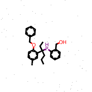 CCCC(CC)(Pc1ccccc1CO)c1cc(C)ccc1OCc1ccccc1